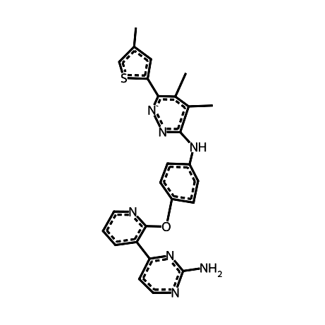 Cc1csc(-c2nnc(Nc3ccc(Oc4ncccc4-c4ccnc(N)n4)cc3)c(C)c2C)c1